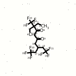 CCC(CC)(C(=O)CC(=O)CC(CC(F)(F)F)CC(F)(F)F)C(F)(F)F